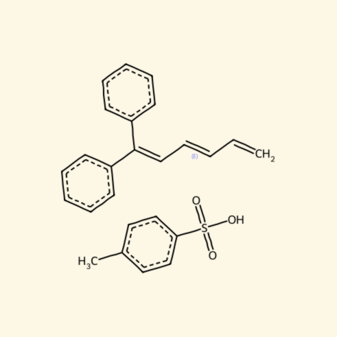 C=C/C=C/C=C(c1ccccc1)c1ccccc1.Cc1ccc(S(=O)(=O)O)cc1